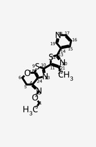 CCO/N=C1\CCOc2sc(-c3sc(-c4cccnc4)nc3C)nc21